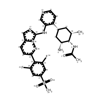 CC(=O)N[C@@H]1[C@H](N)C[C@H](c2ccncc2Nc2ncc3ccc(-c4c(F)cc(S(C)(=O)=O)cc4F)nn23)C[C@@H]1C